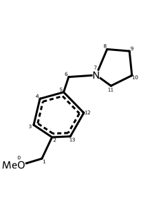 COCc1ccc(CN2CCCC2)cc1